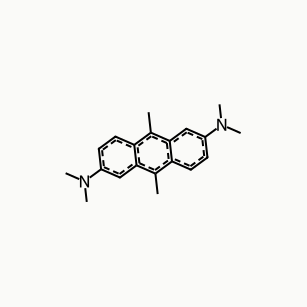 Cc1c2ccc(N(C)C)cc2c(C)c2ccc(N(C)C)cc12